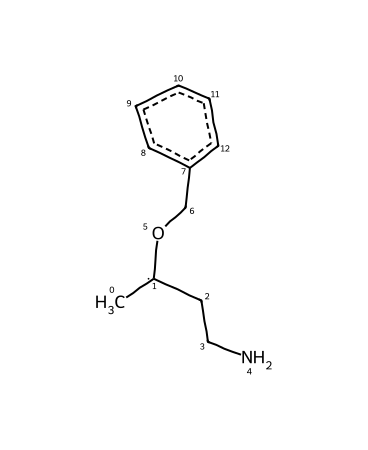 C[C](CCN)OCc1ccccc1